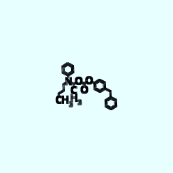 CCCCN(c1ccccc1)C(C)OC(=O)Oc1ccc(Cc2ccccc2)cc1